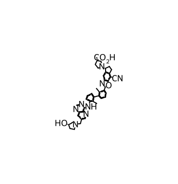 Cc1c(Nc2ncnc3cc(CN4CC[C@@H](O)C4)cnc23)cccc1-c1cccc(-c2nc3cc4c(c(C#N)c3o2)CC[C@H]4N2CC[C@@H](C(=O)O)C2)c1C